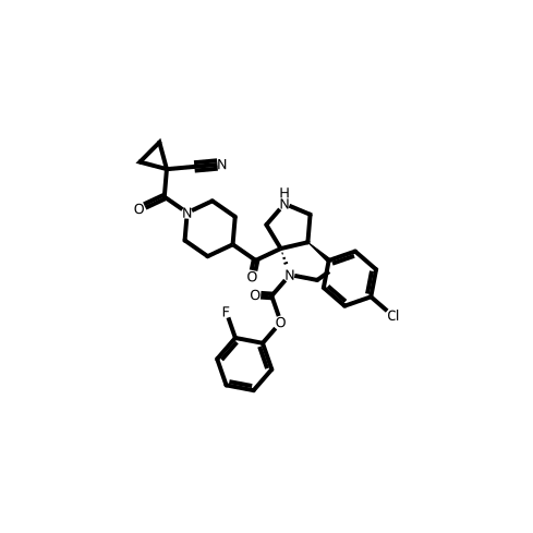 CCN(C(=O)Oc1ccccc1F)[C@]1(C(=O)C2CCN(C(=O)C3(C#N)CC3)CC2)CNC[C@H]1c1ccc(Cl)cc1